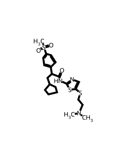 CN(C)CCSc1cnc(NC(=O)C(CC2CCCC2)c2ccc(S(C)(=O)=O)cc2)s1